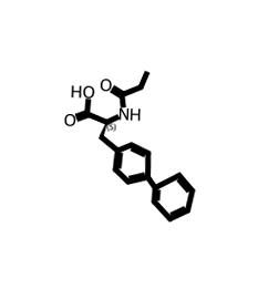 CCC(=O)N[C@@H](Cc1ccc(-c2ccccc2)cc1)C(=O)O